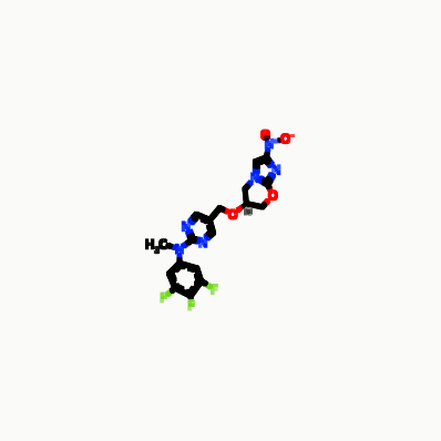 CN(c1cc(F)c(F)c(F)c1)c1ncc(CO[C@@H]2COc3nc([N+](=O)[O-])cn3C2)cn1